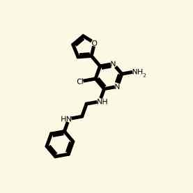 Nc1nc(NCCNc2ccccc2)c(Cl)c(-c2ccco2)n1